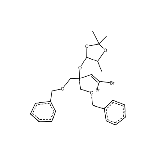 CC1OC(C)(C)OC1OC(C=C(Br)Br)(COCc1ccccc1)COCc1ccccc1